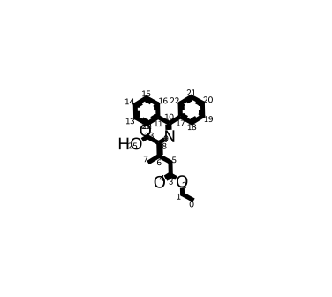 CCOC(=O)C/C(C)=C(\N=C(c1ccccc1)c1ccccc1)C(=O)O